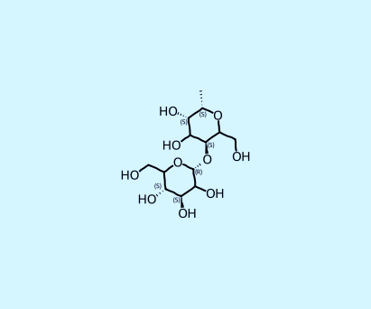 C[C@@H]1OC(CO)[C@@H](O[C@H]2OC(CO)[C@@H](O)[C@H](O)C2O)C(O)[C@@H]1O